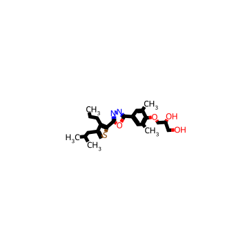 CCCc1c(CC(C)C)csc1-c1nnc(-c2cc(C)c(OCC(O)CO)c(C)c2)o1